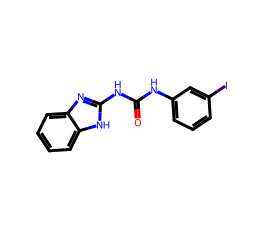 O=C(Nc1cccc(I)c1)Nc1nc2ccccc2[nH]1